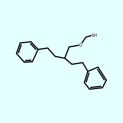 SCOCC(CCc1ccccc1)CCc1ccccc1